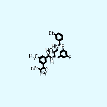 CCCC(CCC)C(=O)c1cc(C)cc(C(=O)N[C@@H](Cc2cc(F)cc(F)c2)[C@H](O)CNCc2cccc(CC)c2)c1